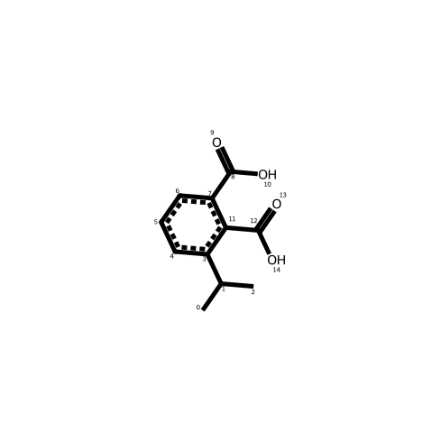 CC(C)c1cccc(C(=O)O)c1C(=O)O